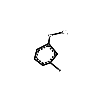 Fc1cccc(OC(F)(F)F)c1